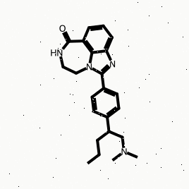 CCCC(CN(C)C)c1ccc(-c2nc3cccc4c3n2CCNC4=O)cc1